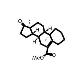 COC(=O)C1=C2CCCC[C@]2(C)[C@H]2CC[C@]3(C)C(=O)CC[C@H]3[C@@H]2C1